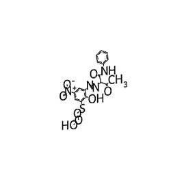 CC(=O)C(/N=N/c1cc([N+](=O)[O-])cc(SOOO)c1O)C(=O)Nc1ccccc1